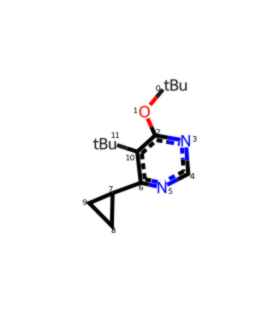 CC(C)(C)Oc1ncnc(C2CC2)c1C(C)(C)C